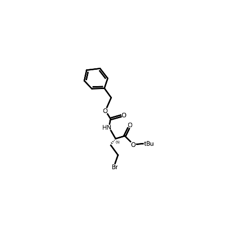 CC(C)(C)OC(=O)[C@H](CCBr)NC(=O)OCc1ccccc1